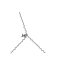 CCCCCCCCCCCCCCCCC[PH](CCCC)(CCCCCCCCCCCCCCCCC)CCCCCCCCCCCCCCCCC